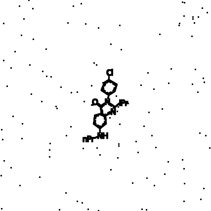 CCCNc1ccc2c(=O)n(-c3ccc(Cl)cc3)c(C(C)C)nc2c1